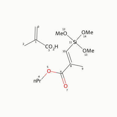 C=C(C)C(=O)O.CCCOC(=O)C(C)=C[Si](OC)(OC)OC